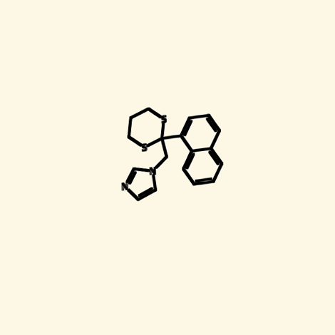 c1ccc2c(C3(Cn4ccnc4)SCCCS3)cccc2c1